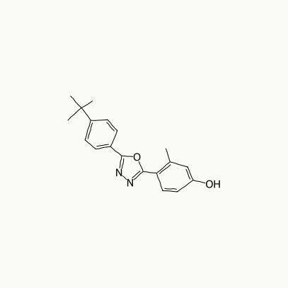 Cc1cc(O)ccc1-c1nnc(-c2ccc(C(C)(C)C)cc2)o1